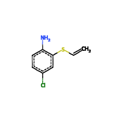 C=CSc1cc(Cl)ccc1N